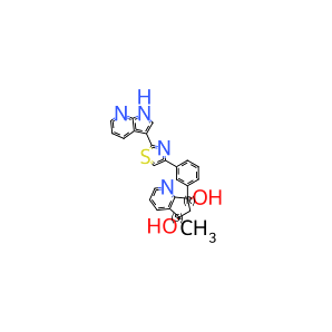 C[C@]1(O)C[C@@](O)(c2cccc(-c3csc(-c4c[nH]c5ncccc45)n3)c2)c2ncccc21